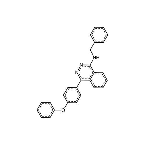 c1ccc(CNc2nnc(-c3ccc(Oc4ccccc4)cc3)c3ccccc23)cc1